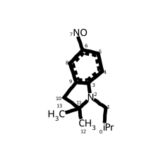 CC(C)CN1c2ccc(N=O)cc2CC1(C)C